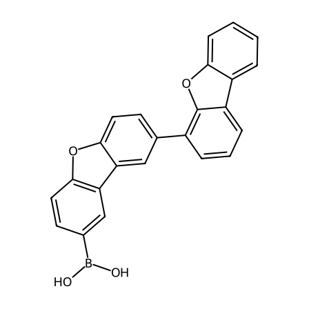 OB(O)c1ccc2oc3ccc(-c4cccc5c4oc4ccccc45)cc3c2c1